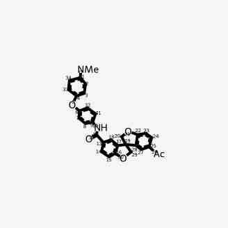 CNc1ccc(Oc2ccc(NC(=O)c3ccc4c(c3)C3(COc5ccc(C(C)=O)cc53)CO4)cc2)cc1